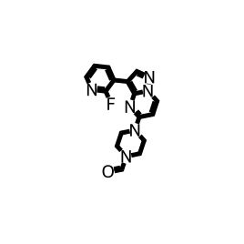 O=CN1CCN(c2ccn3ncc(-c4cccnc4F)c3n2)CC1